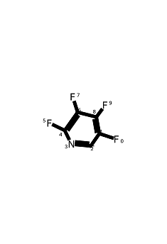 Fc1[c]nc(F)c(F)c1F